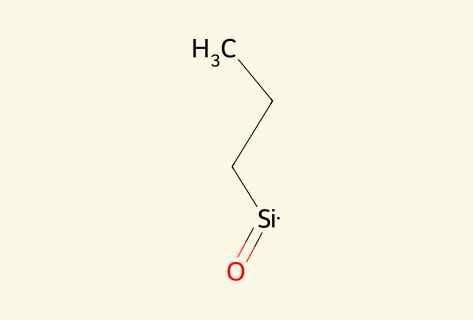 CCC[Si]=O